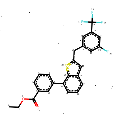 CCOC(=O)c1cccc(-c2cccc3cc(Cc4cc(F)cc(C(F)(F)F)c4)sc23)c1